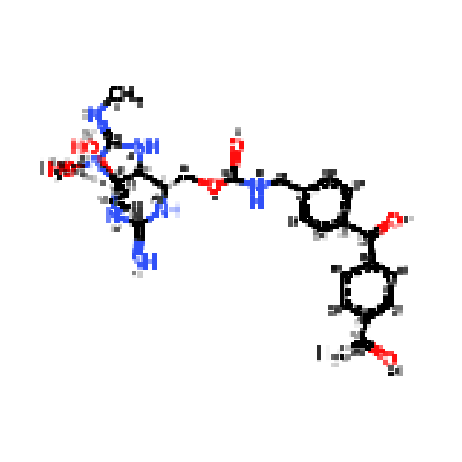 C/N=C1\NC2[C@H](COC(=O)NCc3ccc(C(=O)c4ccc(C(C)=O)cc4)cc3)NC(=N)N3CC[C@](C)(O)C23N1O